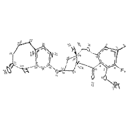 Cc1cc2c(c(OC(C)C)c1F)C(=O)N1C[C@@H](Oc3cc4c(cn3)CCCC(=O)N4)C[C@@H]1CO2